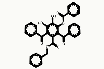 O=C(Oc1c(O)c(O)c(C(=O)c2ccccc2)c(C(=O)OCc2ccccc2)c1C(=O)c1ccccc1)c1ccccc1